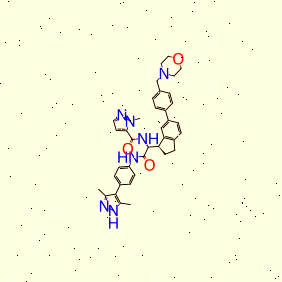 Cc1n[nH]c(C)c1-c1ccc(NC(=O)[C@@H](NC(=O)c2ccnn2C)[C@@H]2CCc3ccc(-c4ccc(CN5CCOCC5)cc4)cc32)cc1